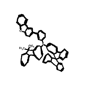 CC1(C)c2ccccc2-c2ccc(N(c3cccc(-c4ccc5oc6ccccc6c5c4)c3)c3ccc4c(c3)C3(c5ccccc5-c5ccccc53)c3ccccc3-4)cc21